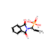 C=CC(N1C(=O)c2ccccc2C1=O)P(=O)(O)O